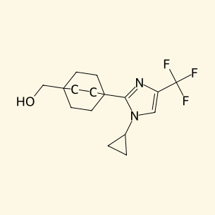 OCC12CCC(c3nc(C(F)(F)F)cn3C3CC3)(CC1)CC2